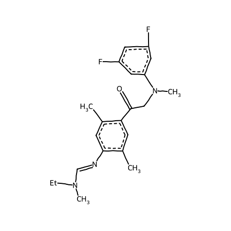 CCN(C)C=Nc1cc(C)c(C(=O)CN(C)c2cc(F)cc(F)c2)cc1C